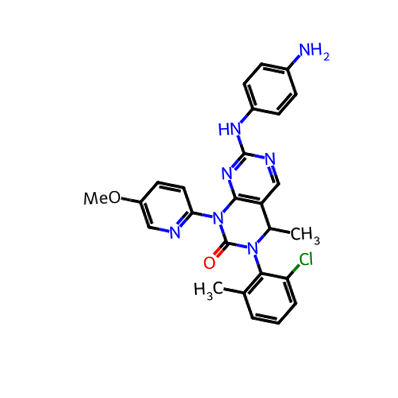 COc1ccc(N2C(=O)N(c3c(C)cccc3Cl)C(C)c3cnc(Nc4ccc(N)cc4)nc32)nc1